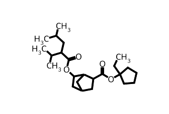 CCC1(OC(=O)C2CC3CC(OC(=O)C(CC(C)C)C(C)C)C2C3)CCCC1